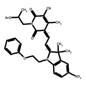 CC(=O)OC(C)CN1C(=O)C(C#N)=C(C)/C(=C/C=C2/N(CCOc3ccccc3)c3ccc([N+](=O)[O-])cc3C2(C)C)C1=O